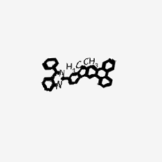 CC1(C)c2cc(-c3nc(-c4ccccc4)c4ccccc4n3)ccc2-c2cc3c4ccccc4c4ccccc4c3cc21